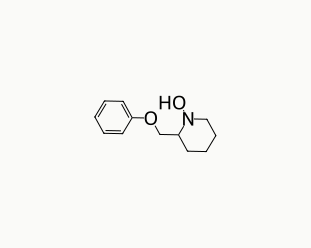 ON1CCCCC1COc1ccccc1